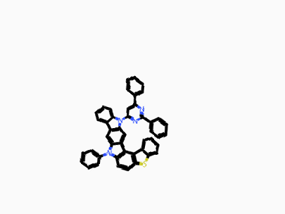 c1ccc(-c2cc(-n3c4ccccc4c4cc5c(cc43)c3c4c(ccc3n5-c3ccccc3)sc3ccccc34)nc(-c3ccccc3)n2)cc1